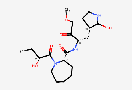 CC(C)C[C@@H](O)C(=O)N1CCCCC[C@H]1C(=O)N[C@@H](C[C@@H]1CCNC1O)C(=O)COC(F)(F)F